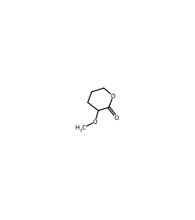 COC1CCCOC1=O